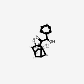 O=C(C(O)c1ccccc1)[C@H]1C2CC3CC(C2)C[C@@H]1C3